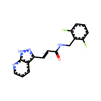 O=C(/C=C/c1n[nH]c2ncccc12)NCc1c(F)cccc1F